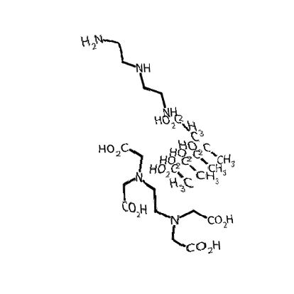 CC(=O)O.CC(=O)O.CC(=O)O.CC(=O)O.CC(=O)O.NCCNCCN.O=C(O)CN(CCN(CC(=O)O)CC(=O)O)CC(=O)O